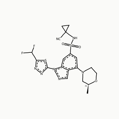 C[C@H]1CN(c2cc(S(=O)(=O)NC3(C#N)CC3)cc3c2cnn3-c2nnc(C(F)F)s2)CCO1